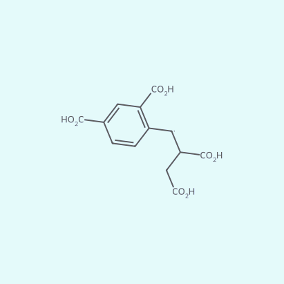 O=C(O)CC([CH]c1ccc(C(=O)O)cc1C(=O)O)C(=O)O